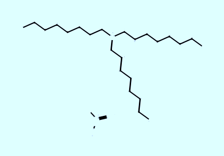 CCCCCCCCP(CCCCCCCC)CCCCCCCC.O=[PH](O)O